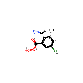 NCC(=O)O.O=C(OO)c1cccc(Cl)c1